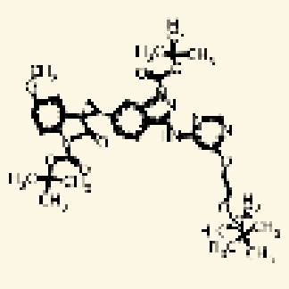 COc1ccc2c(c1)[C@]1(C[C@H]1c1ccc3c(Nc4cc(OCCO[Si](C)(C)C(C)(C)C)ncn4)nn(C(=O)OC(C)(C)C)c3c1)C(=O)N2C(=O)OC(C)(C)C